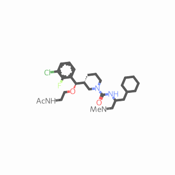 CNCC(CC1CCCCC1)NC(=O)N1CCC[C@@H]([C@@H](OCCNC(C)=O)c2cccc(Cl)c2F)C1